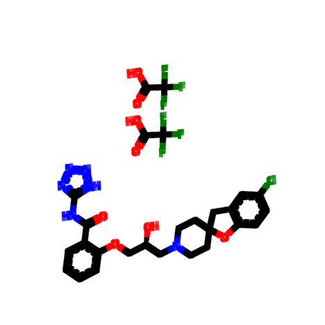 O=C(Nc1nnn[nH]1)c1ccccc1OC[C@@H](O)CN1CCC2(CC1)Cc1cc(Cl)ccc1O2.O=C(O)C(F)(F)F.O=C(O)C(F)(F)F